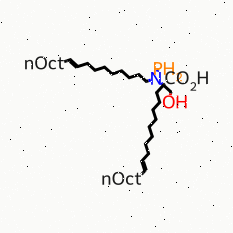 CCCCCCCCC=CCCCCCCCCN(P)[C@](CO)(CCCCCCCCC=CCCCCCCCC)C(=O)O